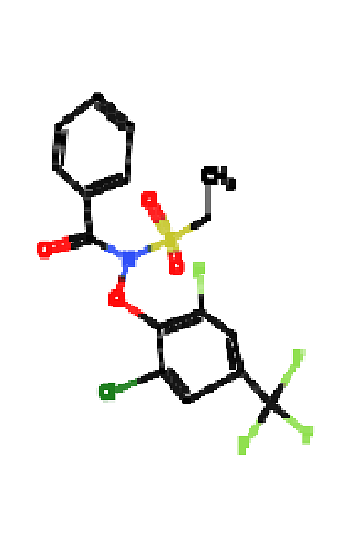 CCS(=O)(=O)N(Oc1c(F)cc(C(F)(F)F)cc1Cl)C(=O)c1ccccc1